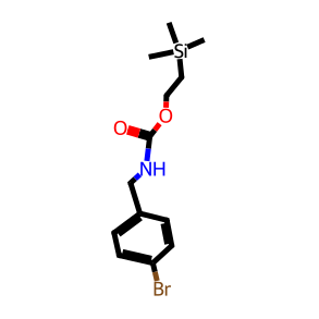 C[Si](C)(C)CCOC(=O)NCc1ccc(Br)cc1